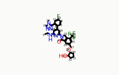 CCNc1cc(-c2ccc(F)cc2-c2nncn2C)cc(N2Cc3c(cc(CO[C@@H]4CCC[C@@H]4O)cc3C(F)(F)F)C2=O)n1